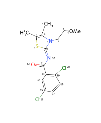 COCCn1c(C)c(C)sc1=NC(=O)c1cc(Cl)ccc1Cl